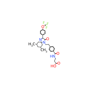 CC1CC(C)CC2(C1)N=C(c1ccc(OC(F)(F)F)cc1)C(=O)N2CCc1ccc(C(=O)NCCC(=O)O)cc1